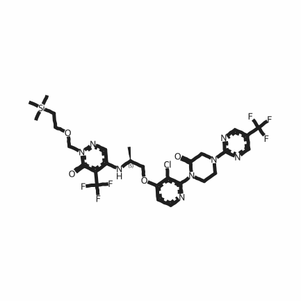 C[C@@H](COc1ccnc(N2CCN(c3ncc(C(F)(F)F)cn3)CC2=O)c1Cl)Nc1cnn(COCC[Si](C)(C)C)c(=O)c1C(F)(F)F